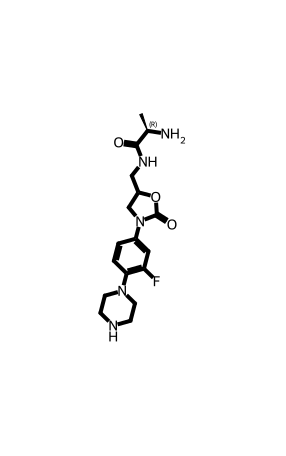 C[C@@H](N)C(=O)NCC1CN(c2ccc(N3CCNCC3)c(F)c2)C(=O)O1